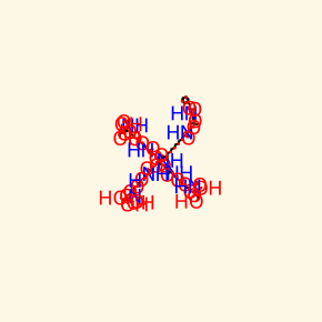 CC(=O)NC1C(O)CC(CO)OC1OCCOCCOCCNC(=O)CCOCC(COCCC(=O)NCCOCCOCCOC1OC(CO)CC(O)C1NC(C)=O)(COCCC(=O)NCCOCCOCCOC1OC(CO)C(O)C(O)C1NC(C)=O)NC(=O)CCCCCCCCCCC(=O)NCCOC(C)(C)OCCNC(=O)OCc1ccccc1